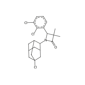 CC1(C)C(=O)N(C2C3CC4CC2CC(Cl)(C4)C3)C1c1cccc(Cl)c1Cl